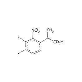 CC(C(=O)O)c1ccc(F)c(F)c1[N+](=O)[O-]